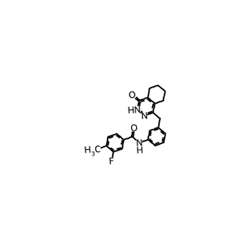 Cc1ccc(C(=O)Nc2cccc(Cc3n[nH]c(=O)c4c3CCCC4)c2)cc1F